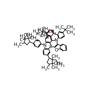 CCC1(C)C(c2ccc3c(c2)B2c4oc5ccccc5c4N(c4ccc(C(C)(C)C)cc4-c4ccc(C(C)(C)C)cc4)c4cc(C(C)(C)C)cc(c42)N3c2ccc(C3CC(C)C(C)(C)C3(C)C)cc2)CC(C)C1(C)C